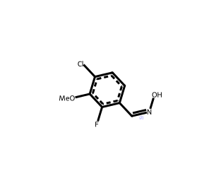 COc1c(Cl)ccc(/C=N\O)c1F